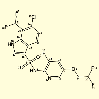 O=S(=O)(Nc1ncc(OCC(F)F)cc1F)c1c[nH]c2c(C(F)F)c(Cl)ccc12